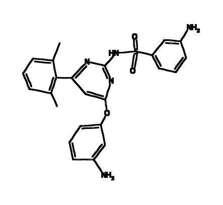 Cc1cccc(C)c1-c1cc(Oc2cccc(N)c2)nc(NS(=O)(=O)c2cccc(N)c2)n1